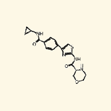 O=C(NC1CC1)c1ccc(-c2csc(NC(=O)[C@@H]3COCCN3)n2)cc1